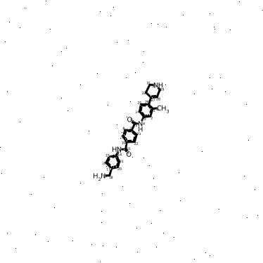 Cc1cc(NC(=O)c2ccc(C(=O)Nc3ccc(CN)cc3)cc2)ccc1C1=CCNCC1